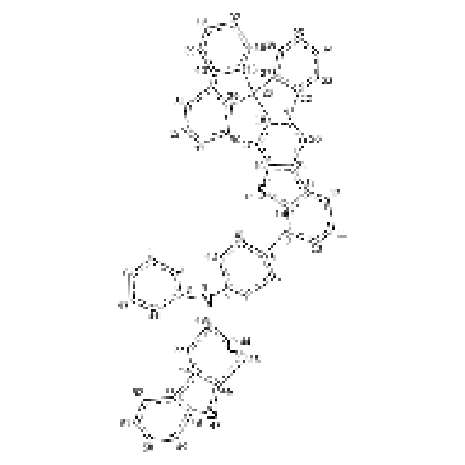 c1ccc(N(c2ccc(-c3cccc4c3sc3cc5c(cc34)-c3ccccc3C5(c3ccccc3)c3ccccc3)cc2)c2ccc3sc4ccccc4c3c2)cc1